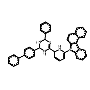 C1=CC(C2=NC(c3ccccc3)NC(c3ccc(-c4ccccc4)cc3)N2)NC(n2c3ccccc3c3c4ccccc4ccc32)=C1